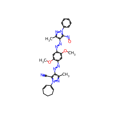 COc1cc(/N=N/c2c(C)nn(-c3ccccc3)c2N=O)c(OC)cc1/N=N/c1c(C)nn(C2=CCCCC=C2)c1C#N